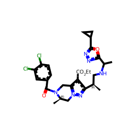 CCOC(=O)c1c([C@H](C)CNC(C)c2nnc(C3CC3)o2)nn2c1CN(C(=O)c1ccc(Cl)c(Cl)c1)[C@H](C)C2